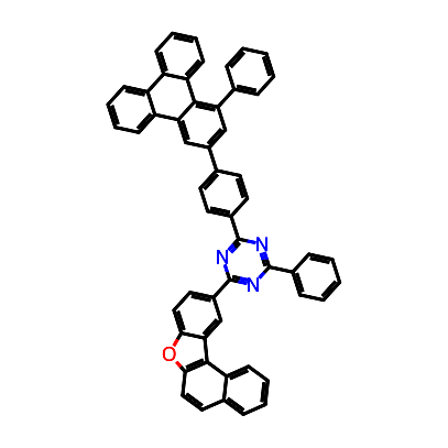 c1ccc(-c2nc(-c3ccc(-c4cc(-c5ccccc5)c5c6ccccc6c6ccccc6c5c4)cc3)nc(-c3ccc4oc5ccc6ccccc6c5c4c3)n2)cc1